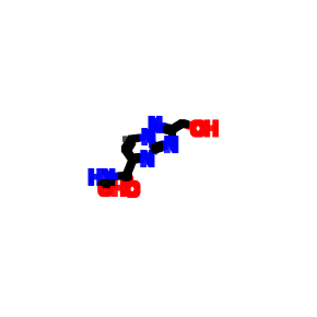 O=C(NO)c1c[c]n2nc(CO)nc2n1